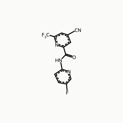 N#Cc1cc(C(=O)Nc2ccc(F)cn2)nc(C(F)(F)F)c1